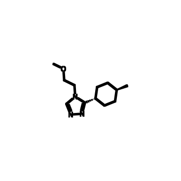 COCCn1cnnc1[C@H]1CC[C@H](C)CC1